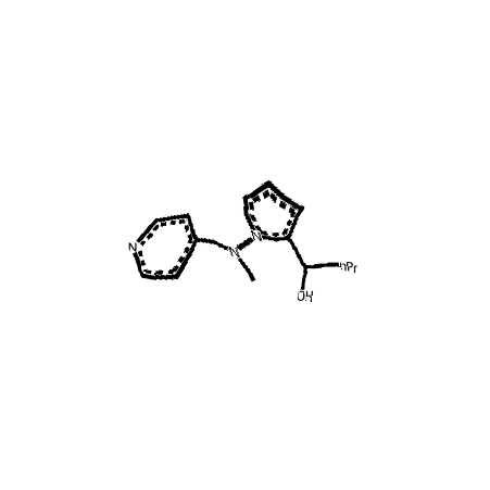 CCCC(O)c1cccn1N(C)c1ccncc1